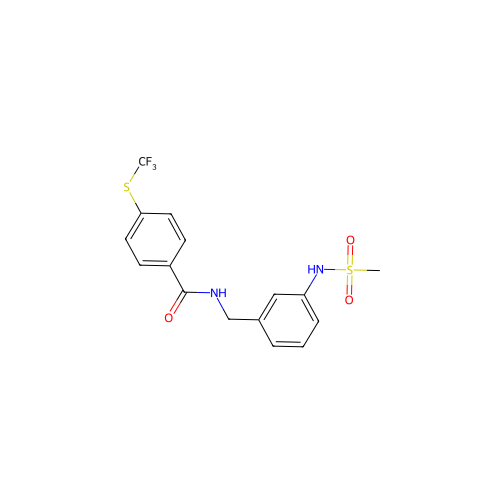 CS(=O)(=O)Nc1cccc(CNC(=O)c2ccc(SC(F)(F)F)cc2)c1